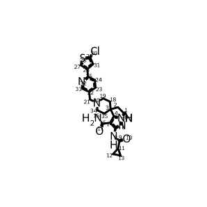 N#CCC1(c2[nH]nc(NC(=O)C3CC3)c2C(N)=O)CCN(Cc2ccc(-c3csc(Cl)c3)nc2)CC1